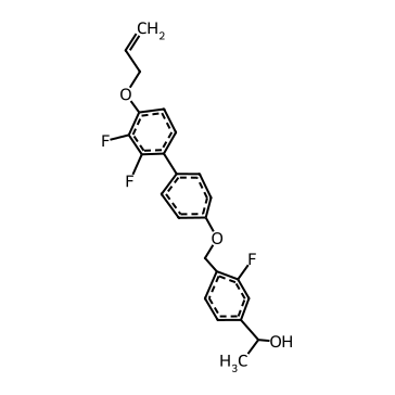 C=CCOc1ccc(-c2ccc(OCc3ccc(C(C)O)cc3F)cc2)c(F)c1F